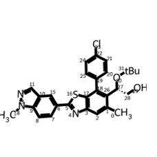 Cc1cc2nc(-c3ccc4c(cnn4C)c3)sc2c(-c2ccc(Cl)cc2)c1[C@@H](CO)OC(C)(C)C